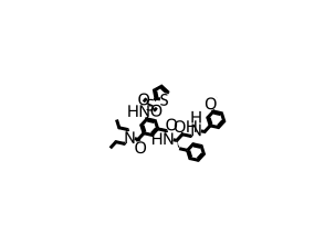 CCCN(CCC)C(=O)c1cc(NS(=O)(=O)c2cccs2)cc(C(=O)N[C@@H](Cc2ccccc2)[C@H](O)CNCc2cccc(OC)c2)c1